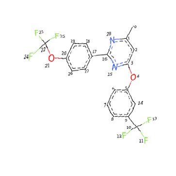 Cc1cc(Oc2cccc(C(F)(F)F)c2)nc(-c2ccc(OC(F)(F)F)cc2)n1